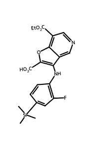 CCOC(=O)c1cncc2c(Nc3ccc([Si](C)(C)C)cc3F)c(C(=O)O)oc12